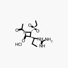 CCC(NC(=N)N)[C@H]1C(=O)N(C(C)=O)[C@@H]1S(=O)(=O)CC.Cl